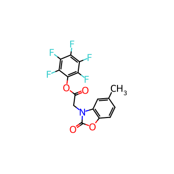 Cc1ccc2oc(=O)n(CC(=O)Oc3c(F)c(F)c(F)c(F)c3F)c2c1